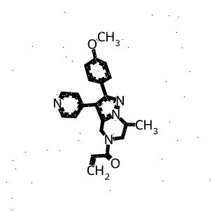 C=CC(=O)N1Cc2c(-c3ccncc3)c(-c3ccc(OC)cc3)nn2C(C)C1